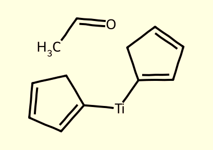 C1=CC[C]([Ti][C]2=CC=CC2)=C1.CC=O